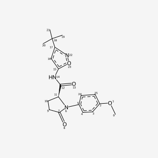 COc1ccc(N2C(=O)CC[C@H]2C(=O)Nc2cc(C(C)(C)C)no2)cc1